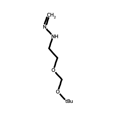 C=NNCCOCOC(C)(C)C